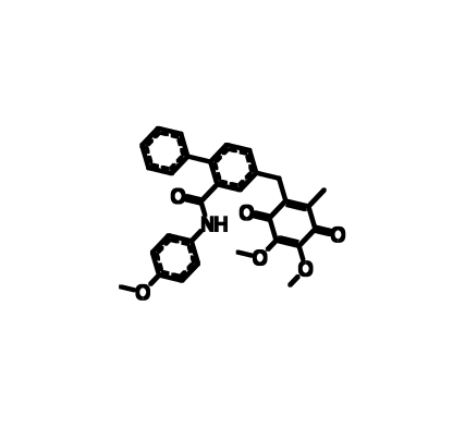 COC1=C(OC)C(=O)C(Cc2ccc(-c3ccccc3)c(C(=O)Nc3ccc(OC)cc3)c2)=C(C)C1=O